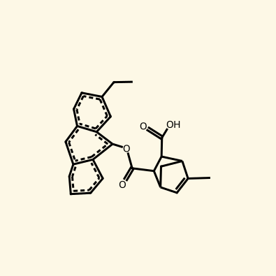 CCc1ccc2cc3ccccc3c(OC(=O)C3C4C=C(C)C(C4)C3C(=O)O)c2c1